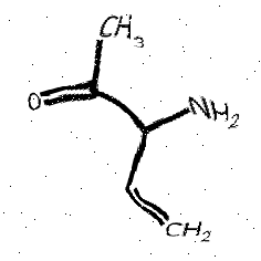 C=CC(N)C(C)=O